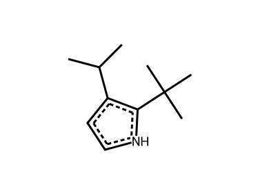 CC(C)c1cc[nH]c1C(C)(C)C